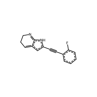 Fc1ccccc1C#Cc1cc2c([nH]1)=NCCC=2